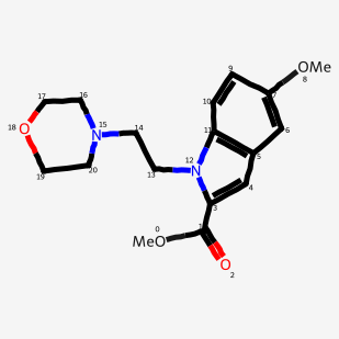 COC(=O)c1cc2cc(OC)ccc2n1CCN1CCOCC1